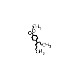 CCC/C=C(\CCC)c1ccc(C(=O)OCC)cc1